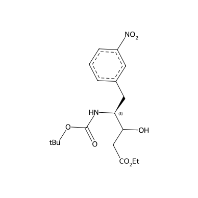 CCOC(=O)CC(O)[C@H](Cc1cccc([N+](=O)[O-])c1)NC(=O)OC(C)(C)C